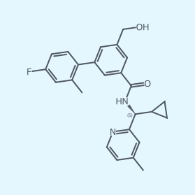 Cc1ccnc([C@@H](NC(=O)c2cc(CO)cc(-c3ccc(F)cc3C)c2)C2CC2)c1